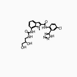 Cn1c(C(=O)Nc2ccc(Cl)cc2-c2nnn[nH]2)cc2cccc(NC(=O)NCC(O)CO)c21